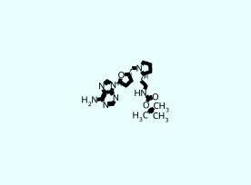 CC(C)(C)OC(=O)NCC[C@H]1CCCN1C[C@@H]1CC[C@H](n2cnc3c(N)ncnc32)O1